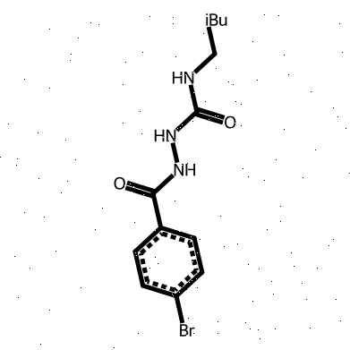 CCC(C)CNC(=O)NNC(=O)c1ccc(Br)cc1